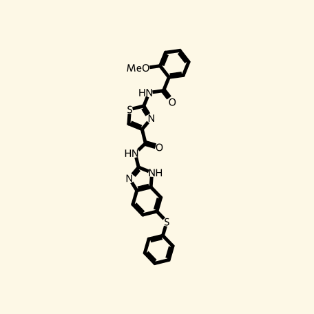 COc1ccccc1C(=O)Nc1nc(C(=O)Nc2nc3ccc(Sc4ccccc4)cc3[nH]2)cs1